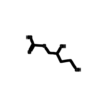 O=C(O)OCC(O)CCO